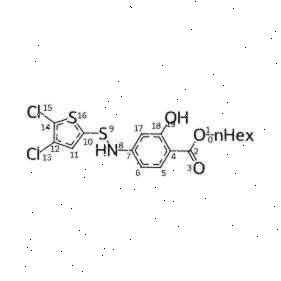 CCCCCCOC(=O)c1ccc(NSc2cc(Cl)c(Cl)s2)cc1O